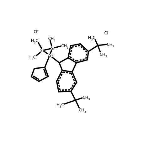 CC(C)(C)c1ccc2c(c1)-c1cc(C(C)(C)C)ccc1[CH]2[Zr+2]1([C]2=CC=CC2)[Si](C)(C)[Si]1(C)C.[Cl-].[Cl-]